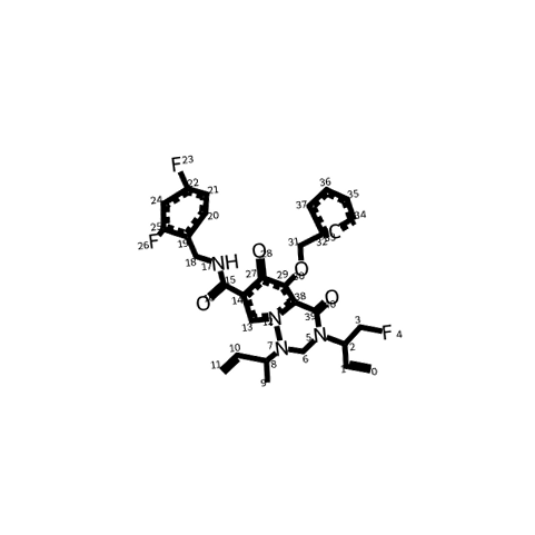 C=CC(CF)N1CN(C(C)C=C)n2cc(C(=O)NCc3ccc(F)cc3F)c(=O)c(OCc3ccccc3)c2C1=O